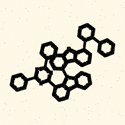 c1ccc(-c2nc(-c3ccccc3)nc(-c3cccc4c5ccccc5n(-c5cccc6oc7c(-c8ccccc8-c8ccccc8)cccc7c56)c34)n2)cc1